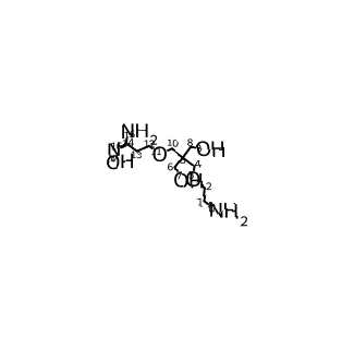 NCCOCC(CO)(CO)COCC/C(N)=N\O